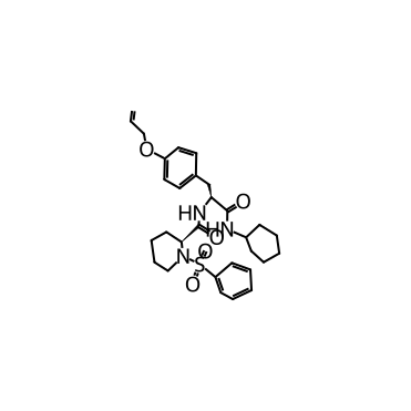 C=CCOc1ccc(C[C@H](NC(=O)[C@@H]2CCCCN2S(=O)(=O)c2ccccc2)C(=O)NC2CCCCC2)cc1